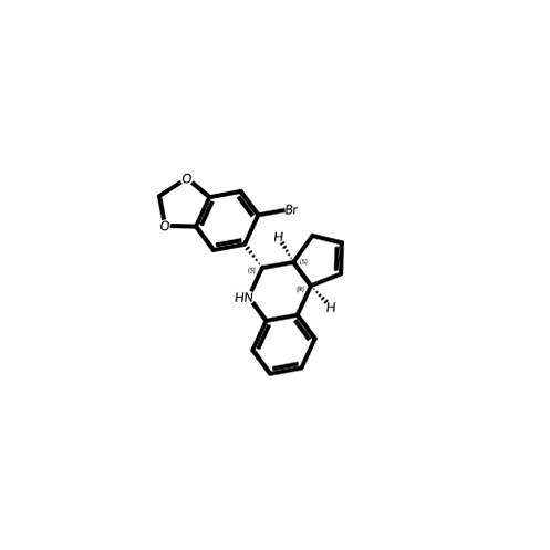 Brc1cc2c(cc1[C@H]1Nc3ccccc3[C@@H]3C=CC[C@H]13)OCO2